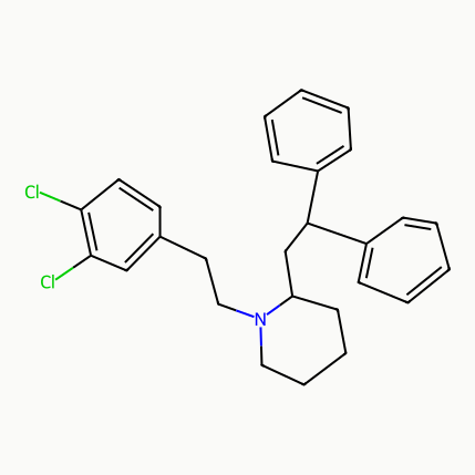 Clc1ccc(CCN2CCCCC2CC(c2ccccc2)c2ccccc2)cc1Cl